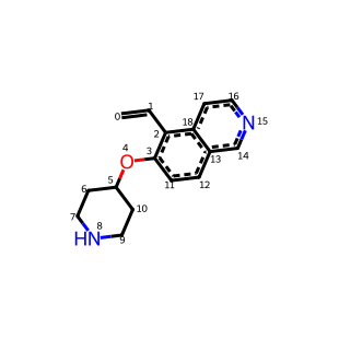 C=Cc1c(OC2CCNCC2)ccc2cnccc12